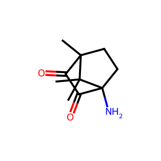 CC12CCC(N)(C(=O)C1=O)C2(C)C